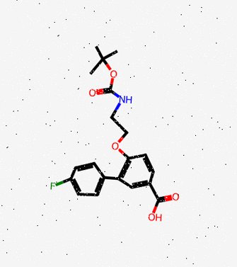 CC(C)(C)OC(=O)NCCOc1ccc(C(=O)O)cc1-c1ccc(F)cc1